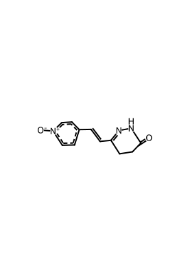 O=C1CCC(C=Cc2cc[n+]([O-])cc2)=NN1